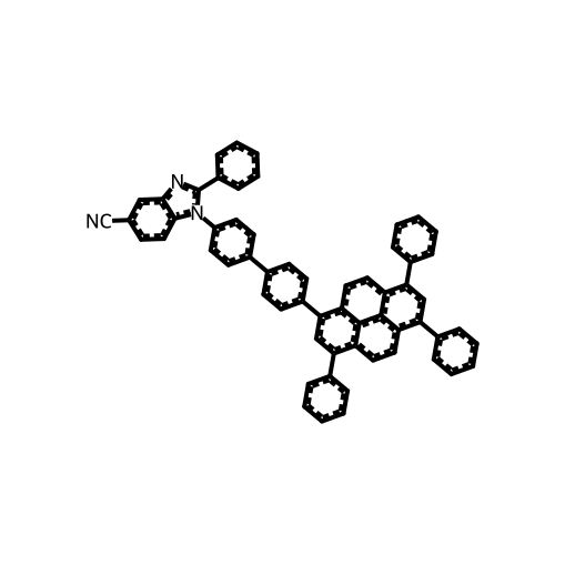 N#Cc1ccc2c(c1)nc(-c1ccccc1)n2-c1ccc(-c2ccc(-c3cc(-c4ccccc4)c4ccc5c(-c6ccccc6)cc(-c6ccccc6)c6ccc3c4c56)cc2)cc1